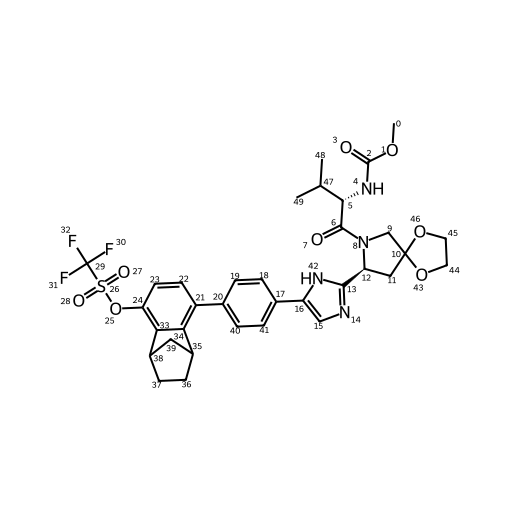 COC(=O)N[C@H](C(=O)N1CC2(C[C@H]1c1ncc(-c3ccc(-c4ccc(OS(=O)(=O)C(F)(F)F)c5c4C4CCC5C4)cc3)[nH]1)OCCO2)C(C)C